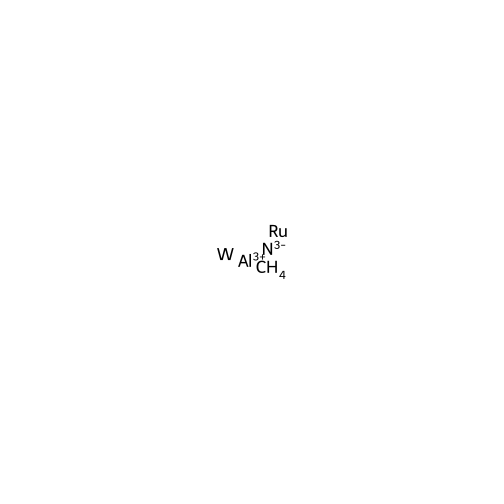 C.[Al+3].[N-3].[Ru].[W]